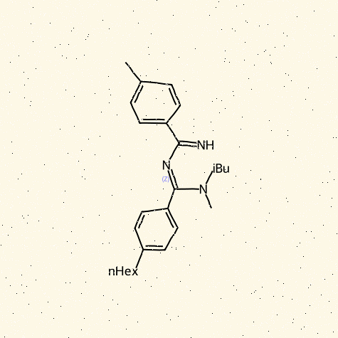 CCCCCCc1ccc(/C(=N/C(=N)c2ccc(C)cc2)N(C)C(C)CC)cc1